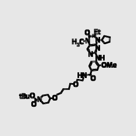 CC[C@@H]1C(=O)N(C)c2cnc(Nc3ccc(C(=O)NCCOCCCCCOC4CCN(C(=O)OC(C)(C)C)CC4)cc3OC)nc2N1C1CCCC1